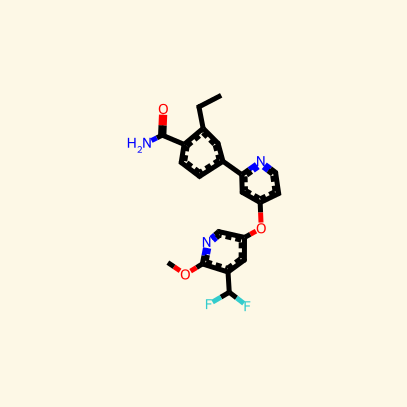 CCc1cc(-c2cc(Oc3cnc(OC)c(C(F)F)c3)ccn2)ccc1C(N)=O